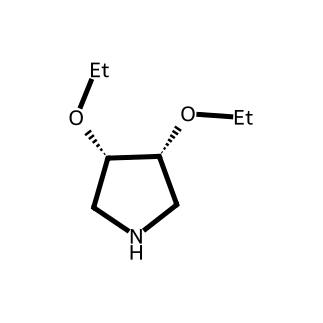 CCO[C@H]1CNC[C@H]1OCC